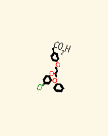 CC(CCOc1ccc(CC(=O)O)cc1)Oc1ccc(Cl)cc1Oc1ccccc1